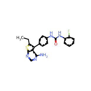 CCc1sc2ncnc(N)c2c1-c1ccc(NC(=O)Nc2ccccc2F)cc1